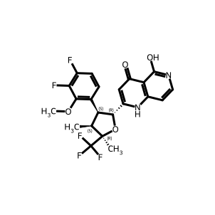 COc1c([C@H]2[C@H](c3cc(=O)c4c(O)nccc4[nH]3)O[C@@](C)(C(F)(F)F)[C@H]2C)ccc(F)c1F